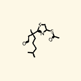 CC(=O)SC1CSC(C(C)(CC=O)CCCC(C)C)=N1